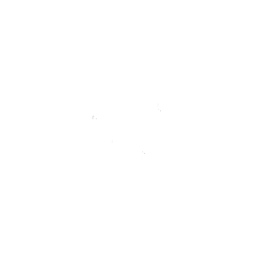 CC(NC1CCNCC1)C(=O)O.O=C(O)C1Cc2ccccc2CN1